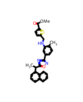 COC(=O)c1ccc(CNc2cc(-c3noc(C(C)c4cccc5ccccc45)n3)ccc2C)s1